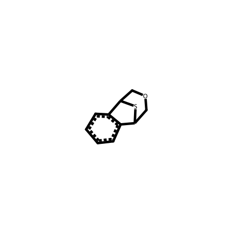 c1ccc2c(c1)C1COCC2S1